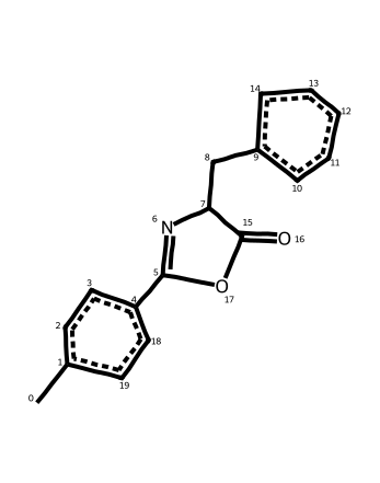 Cc1ccc(C2=NC(Cc3ccccc3)C(=O)O2)cc1